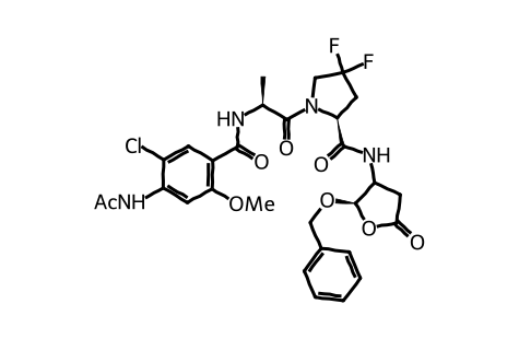 COc1cc(NC(C)=O)c(Cl)cc1C(=O)N[C@@H](C)C(=O)N1CC(F)(F)C[C@H]1C(=O)NC1CC(=O)O[C@H]1OCc1ccccc1